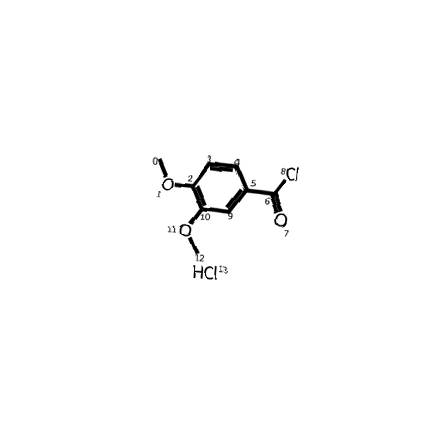 COc1ccc(C(=O)Cl)cc1OC.Cl